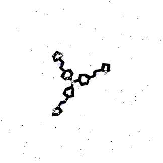 C(=C\c1cccs1)/c1ccc(P(c2ccc(/C=C/c3cccs3)cc2)c2ccc(/C=C/c3cccs3)cc2)cc1